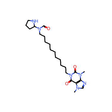 Cn1cnc2c1c(=O)n(CCCCCCCCCCCN(C=O)C1CCCN1)c(=O)n2C